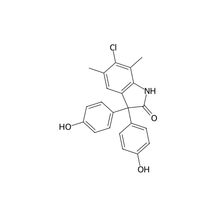 Cc1cc2c(c(C)c1Cl)NC(=O)C2(c1ccc(O)cc1)c1ccc(O)cc1